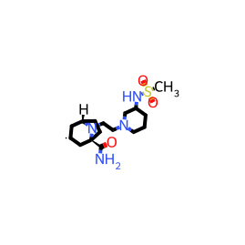 CS(=O)(=O)NC1CCCN(CCN2[C@@H]3C[CH]C[C@@]2(C(N)=O)CC3)C1